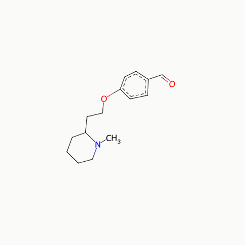 CN1CCCCC1CCOc1ccc(C=O)cc1